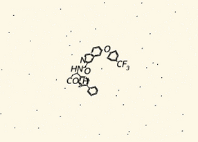 O=C(O)CC(NC(=O)c1cc2cc(Oc3ccc(C(F)(F)F)cc3)ccc2cn1)c1ccc(-c2ccccc2)cc1